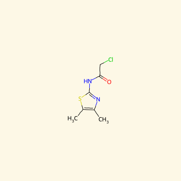 Cc1nc(NC(=O)CCl)sc1C